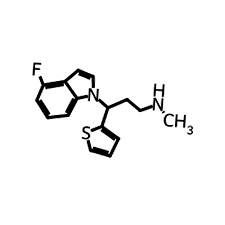 CNCCC(c1cccs1)n1ccc2c(F)cccc21